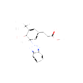 COC(=O)CCC1=CC(C)(n2nc3ccccc3n2)C(O)C(C(C)(C)C)=C1